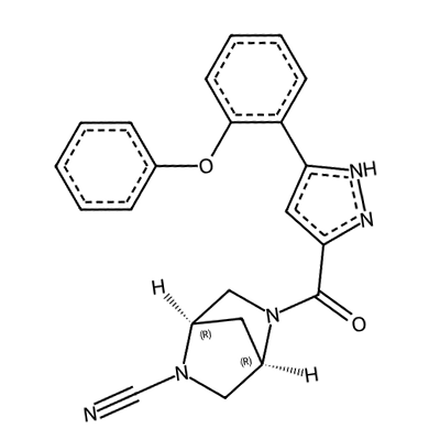 N#CN1C[C@H]2C[C@@H]1CN2C(=O)c1cc(-c2ccccc2Oc2ccccc2)[nH]n1